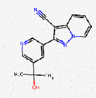 CC(C)(O)c1cncc(-c2nn3ccccc3c2C#N)c1